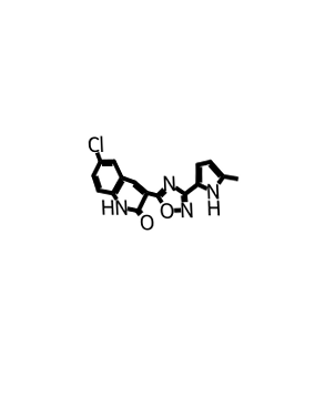 Cc1ccc(-c2noc(-c3cc4cc(Cl)ccc4[nH]c3=O)n2)[nH]1